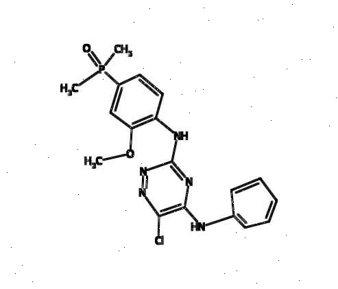 COc1cc(P(C)(C)=O)ccc1Nc1nnc(Cl)c(Nc2ccccc2)n1